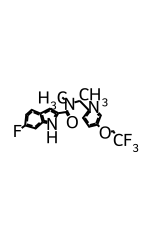 CC(c1ccc(OCC(F)(F)F)cn1)N(C)C(=O)c1cc2ccc(F)cc2[nH]1